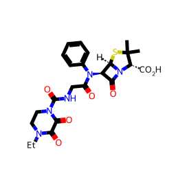 CCN1CCN(C(=O)NCC(=O)N(c2ccccc2)[C@@H]2C(=O)N3[C@@H]2SC(C)(C)[C@@H]3C(=O)O)C(=O)C1=O